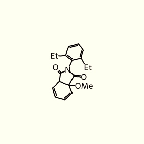 CCc1cccc(CC)c1N1C(=O)C2C=CC=CC2(OC)C1=O